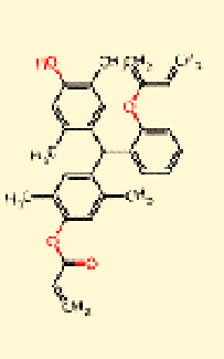 C=CC(=C)Oc1ccccc1C(c1cc(C)c(O)cc1C)c1cc(C)c(OC(=O)C=C)cc1C